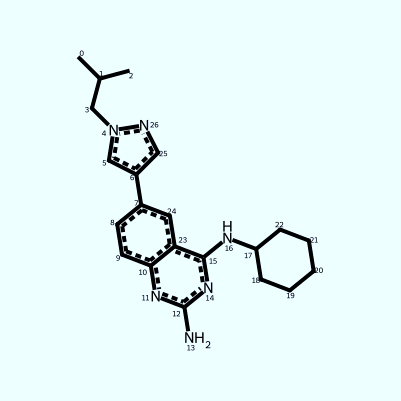 CC(C)Cn1cc(-c2ccc3nc(N)nc(NC4CCCCC4)c3c2)cn1